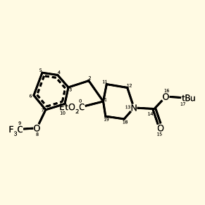 CCOC(=O)C1(Cc2cccc(OC(F)(F)F)c2)CCN(C(=O)OC(C)(C)C)CC1